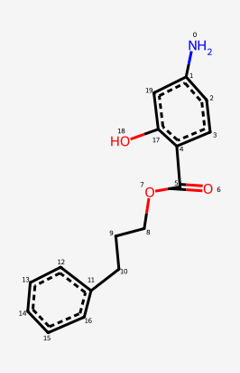 Nc1ccc(C(=O)OCCCc2ccccc2)c(O)c1